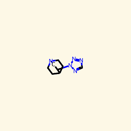 c1nnn(C2CN3CCC2CC3)n1